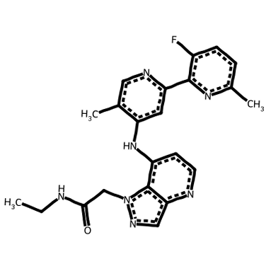 CCNC(=O)Cn1ncc2nccc(Nc3cc(-c4nc(C)ccc4F)ncc3C)c21